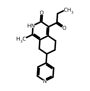 CCC(=O)c1c2c(c(C)[nH]c1=O)CC(c1ccncc1)CC2